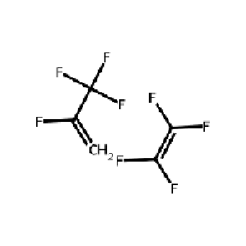 C=C(F)C(F)(F)F.FC(F)=C(F)F